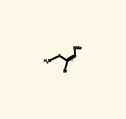 CN/C=C(/Br)SN